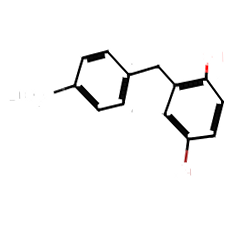 CCOC(=O)c1ccc(Cc2cc(Br)ccc2O)cc1